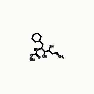 C=CCC(S)C(O)C(CC1CCCCC1)NC(=O)OC(C)(C)C